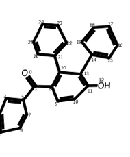 O=C(c1ccccc1)c1ccc(O)c(-c2ccccc2)c1-c1ccccc1